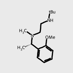 COc1ccccc1[C@H](C)N(C)CCNC(C)(C)C